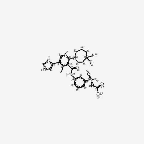 Cc1c(-c2cnco2)cnc(N2CCCC(F)(F)CC2)c1C(=O)Nc1cccc(S(C)(=O)=NC(=O)O)c1